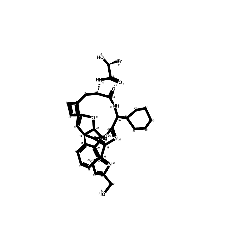 CC(C)[C@H](O)C(=O)N[C@H]1Cc2ccc3c(c2)[C@@]2(c4ccccc4NC2O3)c2oc(nc2-c2nc(CO)co2)C(C2CCCCC2)NC1=O